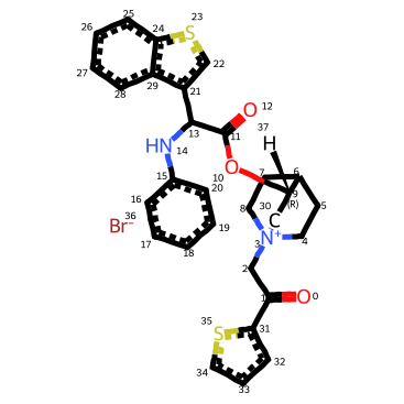 O=C(C[N+]12CCC(CC1)[C@@H](OC(=O)C(Nc1ccccc1)c1csc3ccccc13)C2)c1cccs1.[Br-]